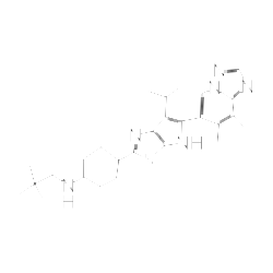 Cc1c(-c2[nH]c3sc(C4CCC(NCC(C)(C)C)CC4)nc3c2C(C)C)cn2ncnc2c1C